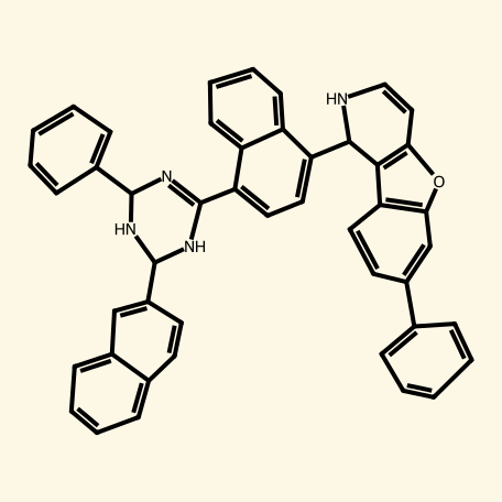 C1=Cc2oc3cc(-c4ccccc4)ccc3c2C(c2ccc(C3=NC(c4ccccc4)NC(c4ccc5ccccc5c4)N3)c3ccccc23)N1